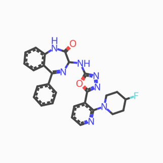 O=C1Nc2ccccc2C(c2ccccc2)=NC1Nc1nnc(-c2cccnc2N2CCC(F)CC2)o1